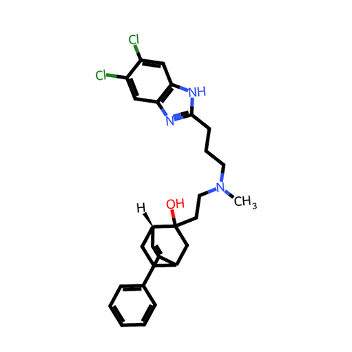 CN(CCCc1nc2cc(Cl)c(Cl)cc2[nH]1)CCC1(O)CC2CC[C@H]1C=C2c1ccccc1